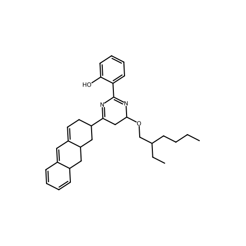 CCCCC(CC)COC1CC(C2CC=C3C=C4C=CC=CC4CC3C2)=NC(c2ccccc2O)=N1